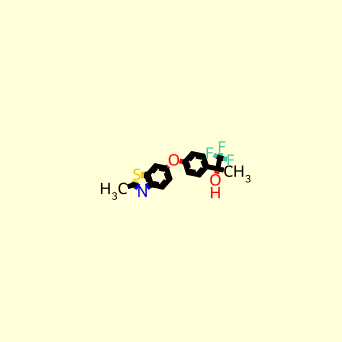 Cc1nc2ccc(Oc3ccc(C(C)(O)C(F)(F)F)cc3)cc2s1